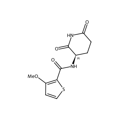 COc1ccsc1C(=O)N[C@@H]1CCC(=O)NC1=O